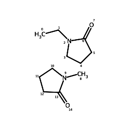 CCN1CCCC1=O.CN1CCCC1=O